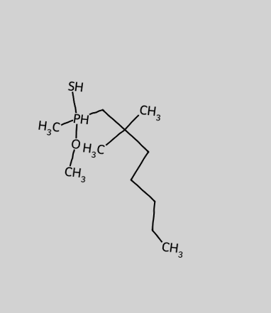 CCCCCC(C)(C)C[PH](C)(S)OC